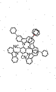 N#Cc1c(-n2c3ccccc3c3ccccc32)c(C#N)c(-n2c3ccc(-c4ccccc4)cc3c3cc(-c4ccccc4)ccc32)c(-n2c3ccc(-c4ccccc4)cc3c3cc(-c4ccccc4)ccc32)c1-n1c2ccccc2c2ccccc21